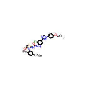 COc1ccc(C(C)C)c(N2C(=O)CSC2=NC(=O)Nc2ccc(-c3ncn(-c4ccc(OCC(F)(F)F)cc4)n3)cc2F)c1